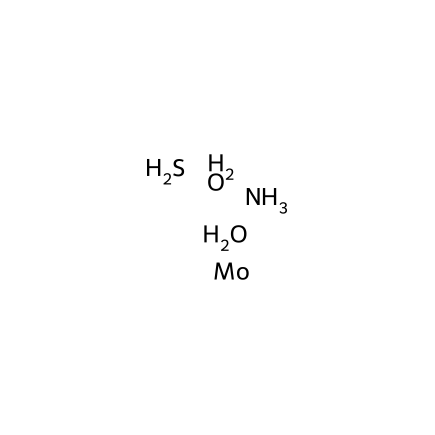 N.O.O.S.[Mo]